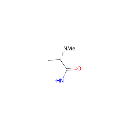 CN[C@@H](C)C([NH])=O